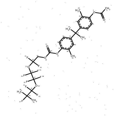 CC(=O)Oc1ccc(C(C)(C)c2ccc(OC(=O)OCC(F)(F)OC(F)(F)C(F)(F)OC(F)(F)C(C)(C)F)c(C)c2)cc1C